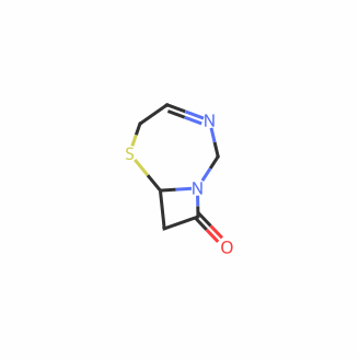 O=C1CC2SCC=NCN12